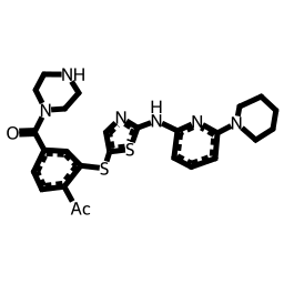 CC(=O)c1ccc(C(=O)N2CCNCC2)cc1Sc1cnc(Nc2cccc(N3CCCCC3)n2)s1